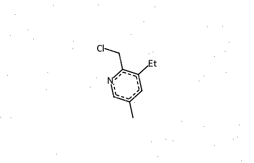 [CH2]Cc1cc(C)cnc1CCl